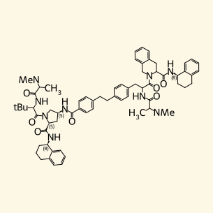 CNC(C)C(=O)NC(Cc1ccc(CCc2ccc(C(=O)N[C@H]3C[C@@H](C(=O)N[C@@H]4CCCc5ccccc54)N(C(=O)C(NC(=O)C(C)NC)C(C)(C)C)C3)cc2)cc1)C(=O)N1Cc2ccccc2CC1C(=O)N[C@@H]1CCCc2ccccc21